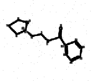 O=C(SCC[C@@H]1CCC[N]1)c1ccccc1